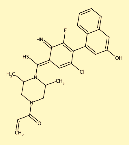 C=CC(=O)N1CC(C)N(/C(S)=C2\C=C(Cl)C(c3cc(O)cc4ccccc34)=C(F)C2=N)C(C)C1